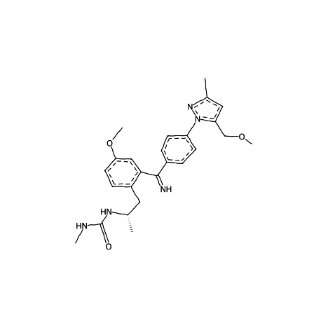 CNC(=O)N[C@@H](C)Cc1ccc(OC)cc1C(=N)c1ccc(-n2nc(C)cc2COC)cc1